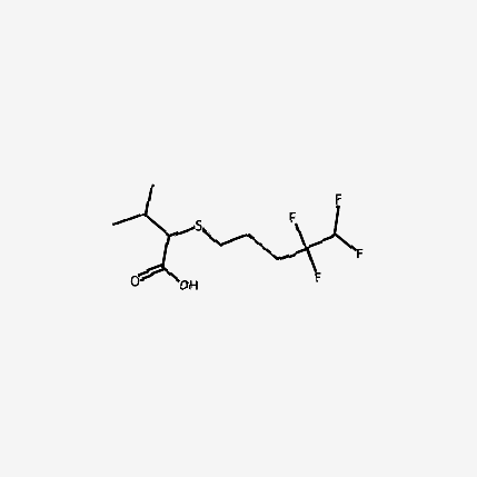 CC(C)C(SCCCC(F)(F)C(F)F)C(=O)O